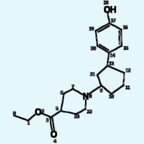 CCOC(=O)C1CCN(C2CCCC(c3ccc(O)cc3)C2)CC1